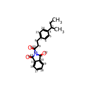 CCC(C)c1ccc(CCC(=O)N2C(=O)c3ccccc3C2=O)cc1